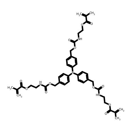 C=C(C)C(=O)OCCNC(=O)OCc1ccc(N(c2ccc(COC(=O)NCCOC(=O)C(=C)C)cc2)c2ccc(COC(=O)NCCOC(=O)C(=C)C)cc2)cc1